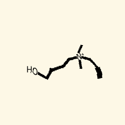 C#CC[N+](C)(C)CCCCO